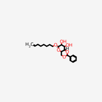 C=CCCCCCCO[C@@H]1OC2COC(c3ccccc3)O[C@H]2C(O)C1O